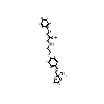 CC1(COc2ccc(OCCNCC(O)COc3ccccc3)cc2)OCCO1